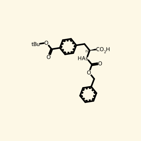 CC(C)(C)OC(=O)c1ccc(C[C@H]([AsH]C(=O)OCc2ccccc2)C(=O)O)cc1